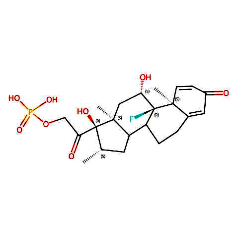 C[C@H]1CC2C3CCC4=CC(=O)C=C[C@]4(C)[C@@]3(F)[C@@H](O)C[C@]2(C)[C@@]1(O)C(=O)COP(=O)(O)O